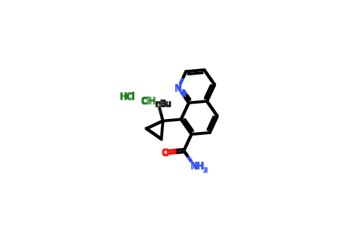 CCCCC1(c2c(C(N)=O)ccc3cccnc23)CC1.Cl.Cl